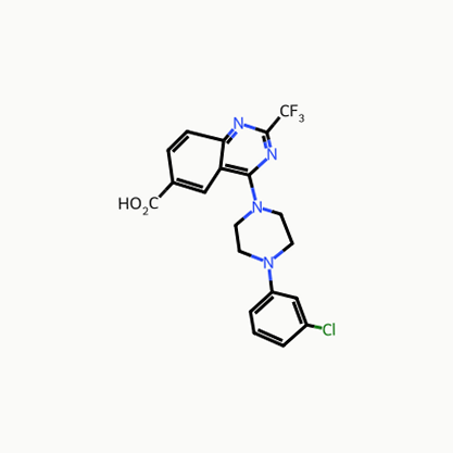 O=C(O)c1ccc2nc(C(F)(F)F)nc(N3CCN(c4cccc(Cl)c4)CC3)c2c1